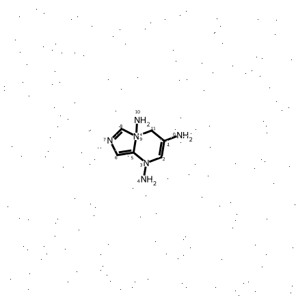 NC1=CN(N)C2=CN=C[N+]2(N)C1